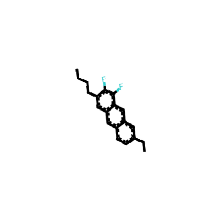 CCCCc1cc2cc3ccc(CC)cc3cc2c(F)c1F